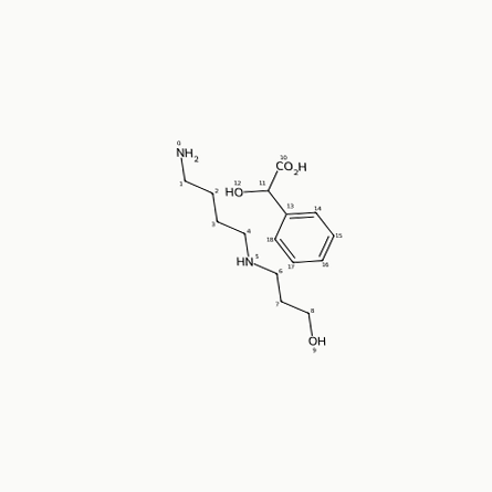 NCCCCNCCCO.O=C(O)C(O)c1ccccc1